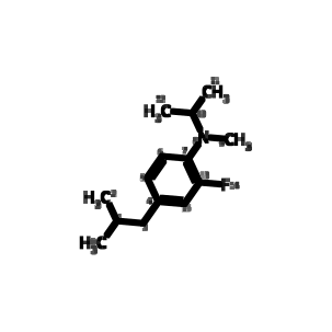 CC(C)Cc1ccc(N(C)C(C)C)c(F)c1